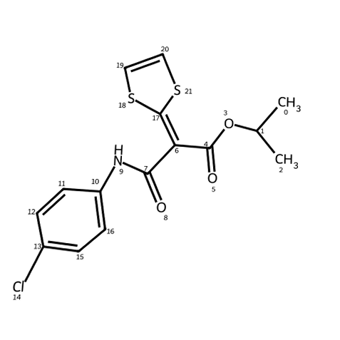 CC(C)OC(=O)C(C(=O)Nc1ccc(Cl)cc1)=C1SC=CS1